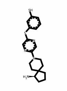 N[C@@H]1CCCC12CCN(c1cnc(Sc3cccc(S)c3)cn1)CC2